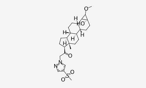 COC1C2[C@@H]3CC[C@@H]4[C@H](CC[C@]5(C)[C@@H](C(=O)Cn6cc(S(C)(=O)=O)cn6)CC[C@@H]45)[C@H]3CC[C@]12O